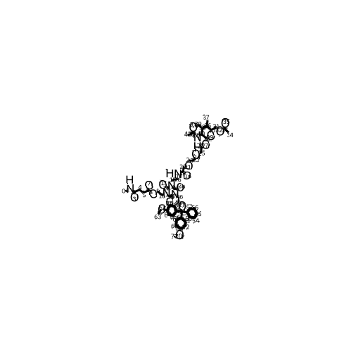 CNC(=O)CCC(=O)OCCn1c(=O)n(CCNC(=O)COCCOCCOC2OC(COC(C)=O)C(C)C(C)C2NC(C)=O)c(=O)n(CCOC(c2ccccc2)(c2ccc(OC)cc2)c2ccc(OC)cc2)c1=O